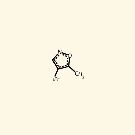 Cc1oncc1C(C)C